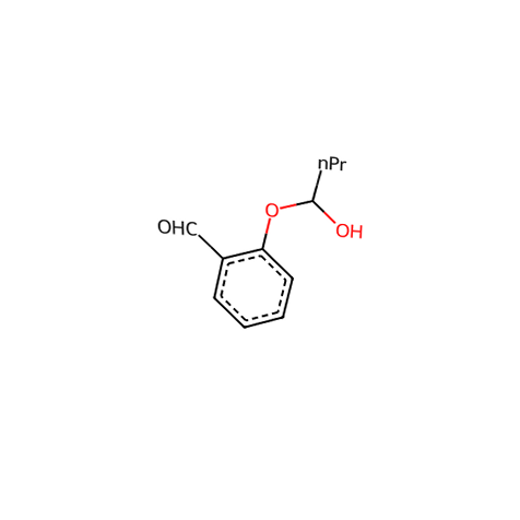 CCCC(O)Oc1ccccc1C=O